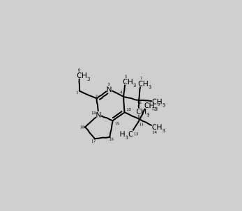 CCC1=NC(C)(C(C)(C)C)C(C(C)(C)C)=C2CCCN12